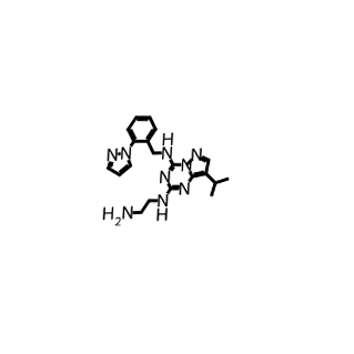 CC(C)c1cnn2c(NCc3ccccc3-n3cccn3)nc(NCCN)nc12